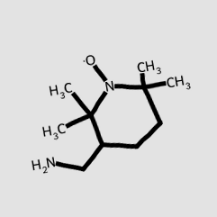 CC1(C)CCC(CN)C(C)(C)N1[O]